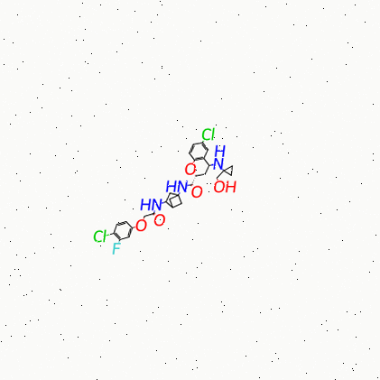 O=C(COc1ccc(Cl)c(F)c1)NC1CC2(NC(=O)[C@H]3C[C@H](NC4(CO)CC4)c4cc(Cl)ccc4O3)CC1C2